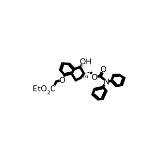 CCOC(=O)COc1cccc2c1CC[C@@H](COC(=O)N(c1ccccc1)c1ccccc1)[C@@H]2O